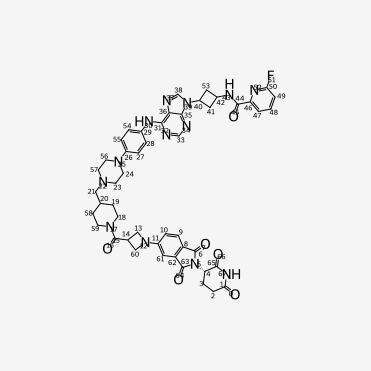 O=C1CC[C@H](N2C(=O)c3ccc(N4CC(C(=O)N5CCC(CN6CCN(c7ccc(Nc8ncnc9c8ncn9C8CC(NC(=O)c9cccc(F)n9)C8)cc7)CC6)CC5)C4)cc3C2=O)C(=O)N1